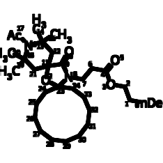 CCCCCCCCCCCCOC(=O)CCN1C(=O)C2(CC(C)(C)N(C(C)=O)C(C)(C)C2)OC12CCCCCCCCCCC2